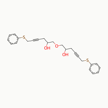 OC(CC#CCSc1ccccc1)COCC(O)CC#CCSc1ccccc1